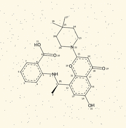 C[C@@H](Nc1ccccc1C(=O)O)c1cc(O)cc2c(=O)cc(N3CCC(C)(C)CC3)oc12